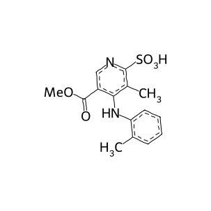 COC(=O)c1cnc(S(=O)(=O)O)c(C)c1Nc1ccccc1C